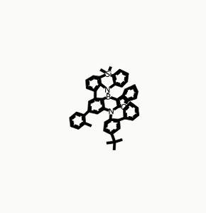 Cc1ccccc1-c1cc2c3c(c1)N(c1ccc(C(C)(C)C)cc1-c1ccccc1)c1oc4ccccc4c1B3N1c3ccccc3[Si](C)(C)c3cccc-2c31